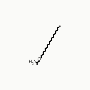 CC(N)COCCCCCCCCCCCCCCCCCCF